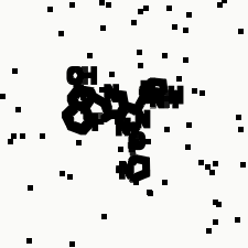 CN1CCC[C@H]1COc1nc(N2C[C@H]3CCC2CN3)c2cnc(-c3cc(O)cc4ccccc34)c(F)c2n1